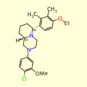 CCOc1ccc([C@H]2CCC[C@H]3CN(c4ccc(Cl)c(OC)c4)CCN32)c(C)c1C